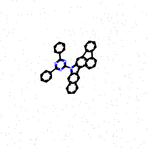 c1ccc(-c2nc(-c3ccccc3)nc(-n3c4cc5ccccc5cc4c4c5cccc6c5c(cc43)-c3ccccc3-6)n2)cc1